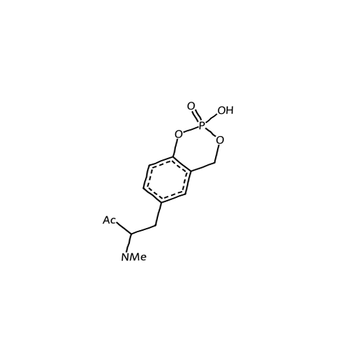 CNC(Cc1ccc2c(c1)COP(=O)(O)O2)C(C)=O